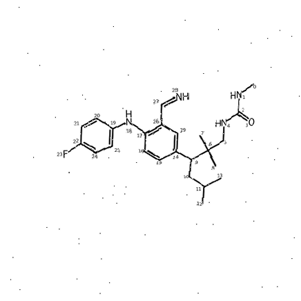 CNC(=O)NCC(C)(C)C(CC(C)C)c1ccc(Nc2ccc(F)cc2)c(C=N)c1